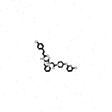 O=C(/C=C/c1ccc(Cl)cc1)N[C@@H](Cc1ccccn1)C(=O)NCC(=O)N1CCC(Oc2cccc(Cl)n2)CC1